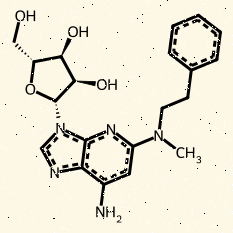 CN(CCc1ccccc1)c1cc(N)c2ncn([C@@H]3O[C@H](CO)[C@@H](O)[C@H]3O)c2n1